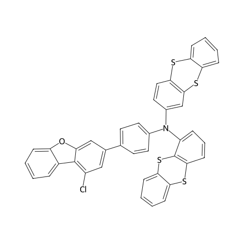 Clc1cc(-c2ccc(N(c3ccc4c(c3)Sc3ccccc3S4)c3cccc4c3Sc3ccccc3S4)cc2)cc2oc3ccccc3c12